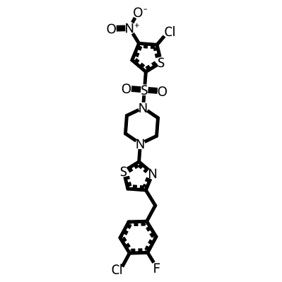 O=[N+]([O-])c1cc(S(=O)(=O)N2CCN(c3nc(Cc4ccc(Cl)c(F)c4)cs3)CC2)sc1Cl